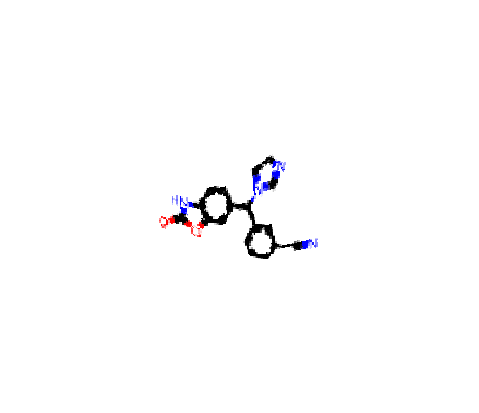 N#Cc1cccc(C(c2ccc3[nH]c(=O)oc3c2)n2ccnc2)c1